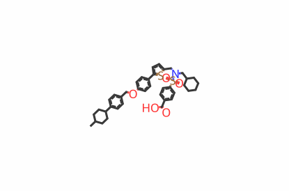 CC1CCC(c2ccc(COc3ccc(-c4ccc(CN(CC5CCCCC5)S(=O)(=O)c5ccc(C(=O)O)cc5)s4)cc3)cc2)CC1